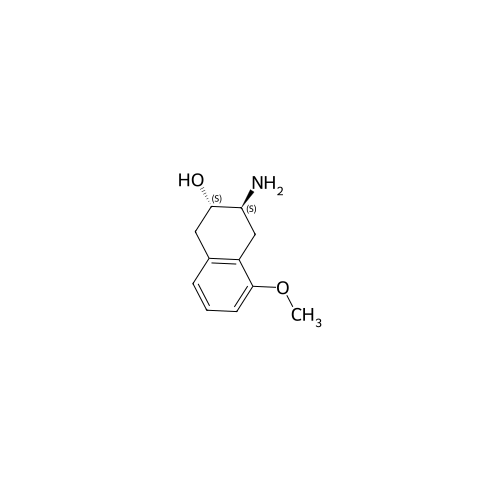 COc1cccc2c1C[C@H](N)[C@@H](O)C2